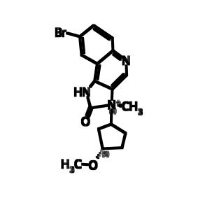 CO[C@H]1CCC([N@+]2(C)C(=O)Nc3c2cnc2ccc(Br)cc32)C1